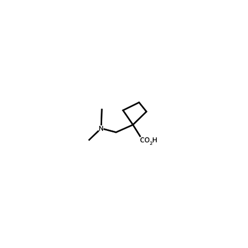 CN(C)CC1(C(=O)O)CCC1